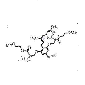 CCCCCc1cc(OCN(C)C(=O)OCCOC)c(C/C=C(\C)CCC=C(C)C)c(OCN(C)C(=O)OCCOC)c1